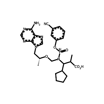 CC(C(=O)O)C(C1CCCC1)N(CO[C@H](C)Cn1cnc2c(N)ncnc21)[PH](=O)Oc1cccc(C#N)c1